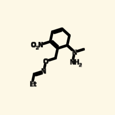 CCC=NOCC1=C([N+](=O)[O-])C=CCC1N(C)N